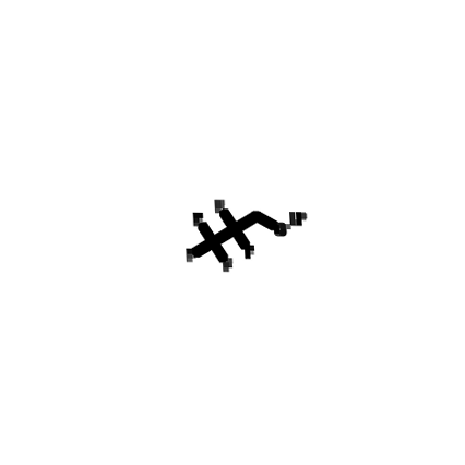 [Li+].[O-]CC(F)(F)C(F)(F)F